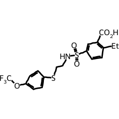 CCc1ccc(S(=O)(=O)NCCSc2ccc(OC(F)(F)F)cc2)cc1C(=O)O